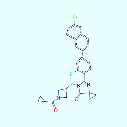 O=C(C1CC1)N1CC(CN2C(=O)C3(CC3)N=C2c2ccc(-c3ccc4cc(Cl)ccc4c3)cc2F)C1